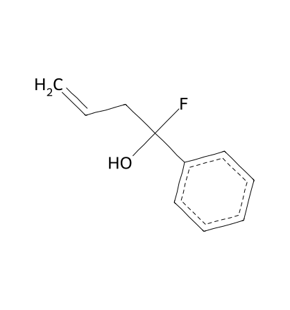 C=CCC(O)(F)c1ccccc1